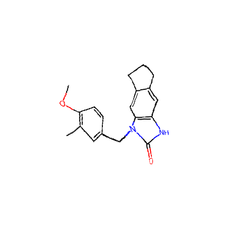 COc1ccc(Cn2c(=O)[nH]c3cc4c(cc32)CCC4)cc1C